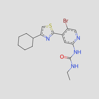 CCNC(=O)Nc1cc(-c2nc(C3CCCCC3)cs2)c(Br)cn1